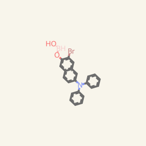 OBOc1cc2ccc(N(c3ccccc3)c3ccccc3)cc2cc1Br